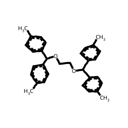 Cc1ccc(C(OCCOC(c2ccc(C)cc2)c2ccc(C)cc2)c2ccc(C)cc2)cc1